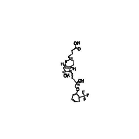 O=C(O)CCC[C@H]1CC[C@@H]2[C@@H](C=C[C@@H](O)COc3ccccc3C(F)(F)F)[C@H](O)C[C@@H]2S1